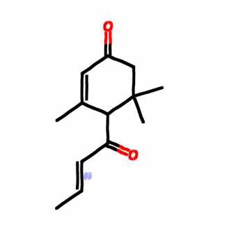 C/C=C/C(=O)C1C(C)=CC(=O)CC1(C)C